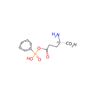 N[C@@H](CCC(=O)OP(=O)(O)c1ccccc1)C(=O)O